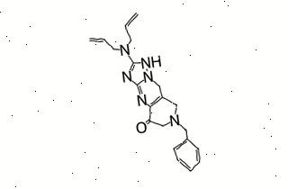 C=CCN(CC=C)C1=NC2=NC3=C(CN(Cc4ccccc4)CC3=O)CN2N1